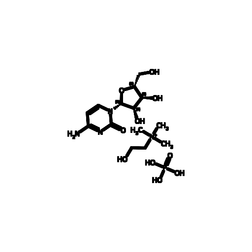 C[N+](C)(C)CCO.Nc1ccn([C@@H]2O[C@H](CO)[C@@H](O)[C@H]2O)c(=O)n1.O=P(O)(O)O